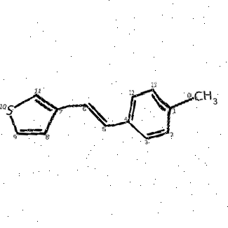 Cc1ccc(C=Cc2ccsc2)cc1